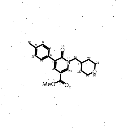 COC(=O)c1cc(-c2ccc(C)cc2)c(=O)n(CC2CCOCC2)c1